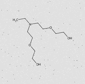 CCN(CCOCCO)CCOCCO